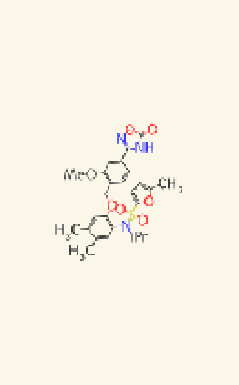 COc1cc(-c2noc(=O)[nH]2)ccc1COc1cc(C)c(C)cc1N(C(C)C)S(=O)(=O)c1ccc(C)o1